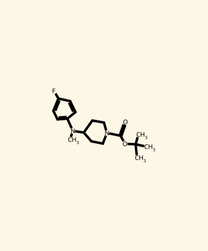 CN(c1ccc(F)cc1)C1CCN(C(=O)OC(C)(C)C)CC1